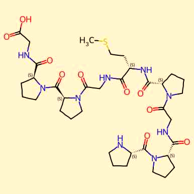 CSCC[C@H](NC(=O)[C@@H]1CCCN1C(=O)CNC(=O)[C@@H]1CCCN1C(=O)[C@@H]1CCCN1)C(=O)NCC(=O)N1CCC[C@H]1C(=O)N1CCC[C@H]1C(=O)NCC(=O)O